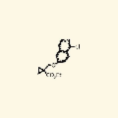 CCOC(=O)C1(COc2ccc3c(Cl)nccc3c2)CC1